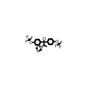 CC(n1cncn1)C(Cl)(c1ccc(OC(F)(F)F)cc1)c1ccc(OC(F)(F)F)cc1